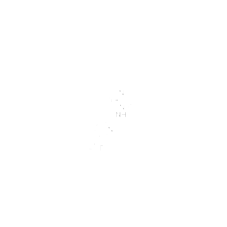 CN(NCc1ccc(C(F)(F)F)cn1)C(=O)N1CC(F)C1